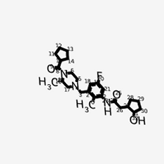 Cc1c(CN2CCN(C(=O)C3CCCC3)[C@@H](C)C2)cc(F)cc1NC(=O)CC1CCCC1O